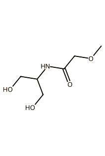 COCC(=O)NC(CO)CO